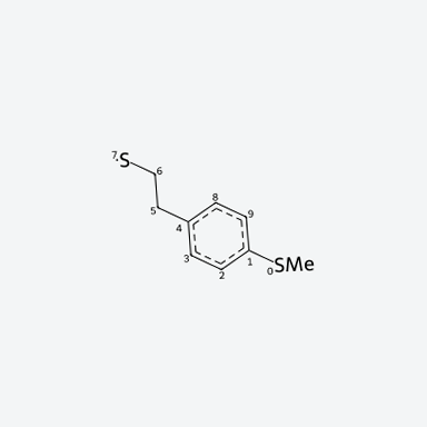 CSc1ccc(CC[S])cc1